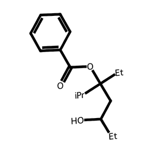 CCC(O)CC(CC)(OC(=O)c1ccccc1)C(C)C